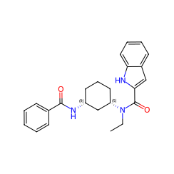 CCN(C(=O)c1cc2ccccc2[nH]1)[C@H]1CCC[C@@H](NC(=O)c2ccccc2)C1